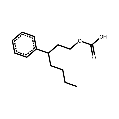 CCCCC(CCOC(=O)O)c1ccccc1